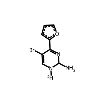 [2H]N1C=C(Br)C(c2ccco2)=NC1N